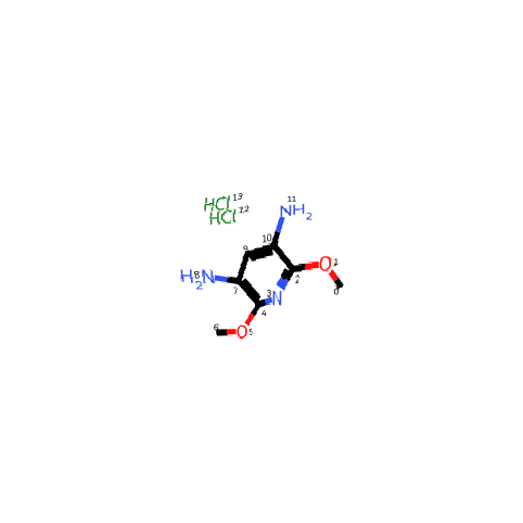 COc1nc(OC)c(N)cc1N.Cl.Cl